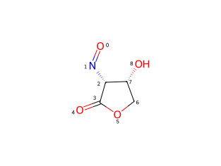 O=N[C@H]1C(=O)OC[C@H]1O